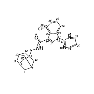 O=C(NCC12CC3CC(CC(C3)C1)C2)c1cn(-c2ncccn2)c2cccc(Cl)c12